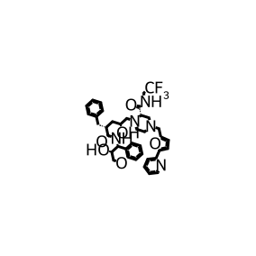 O=C(N[C@H]1c2ccccc2OC[C@H]1O)[C@H](Cc1ccccc1)C[C@H](O)CN1CCN(Cc2ccc(-c3ccccn3)o2)C[C@H]1C(=O)NCC(F)(F)F